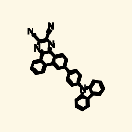 N#Cc1nc2c3ccccc3c3cc(-c4ccc(-n5c6ccccc6c6ccccc65)cc4)ccc3c2nc1C#N